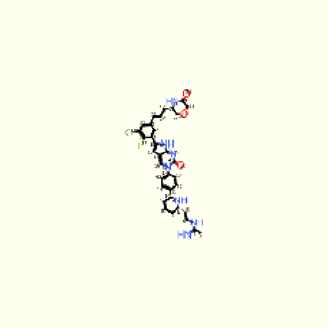 CC(=N)NCC[C@@H]1CCC[C@@H](c2ccc(-n3cc4cc(-c5cc(CCC[C@@H]6COCC(=O)N6)cc(Cl)c5F)[nH]c4nc3=O)cc2)N1